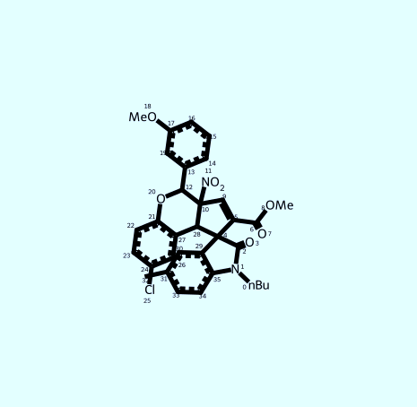 CCCCN1C(=O)C2(C(C(=O)OC)=CC3([N+](=O)[O-])C(c4cccc(OC)c4)Oc4ccc(Cl)cc4C23)c2cc(C)ccc21